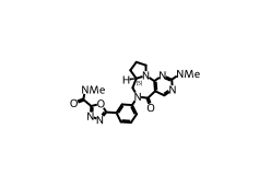 CNC(=O)c1nnc(-c2cccc(N3C[C@@H]4CCCN4c4nc(NC)ncc4C3=O)c2)o1